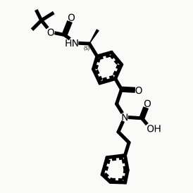 C[C@H](NC(=O)OC(C)(C)C)c1ccc(C(=O)CN(CCc2ccccc2)C(=O)O)cc1